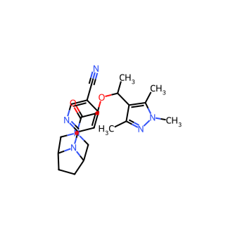 Cc1nn(C)c(C)c1C(C)OCC(=O)N1CC2CCC(C1)N2c1ccc(C#N)cn1